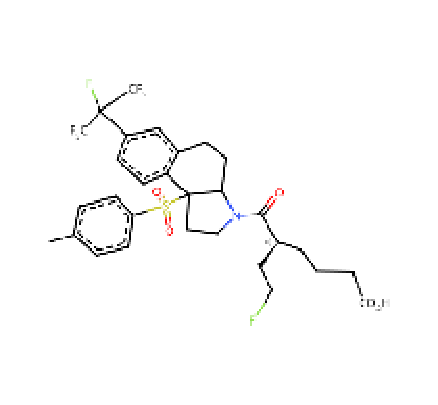 Cc1ccc(S(=O)(=O)C23CCN(C(=O)[C@H](CCF)CCCC(=O)O)C2CCc2cc(C(F)(C(F)(F)F)C(F)(F)F)ccc23)cc1